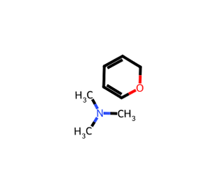 C1=CCOC=C1.CN(C)C